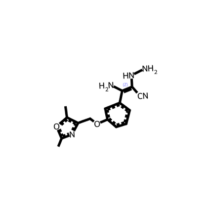 Cc1nc(COc2cccc(/C(N)=C(\C#N)NN)c2)c(C)o1